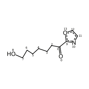 O=C(CCCCCCO)c1ncco1